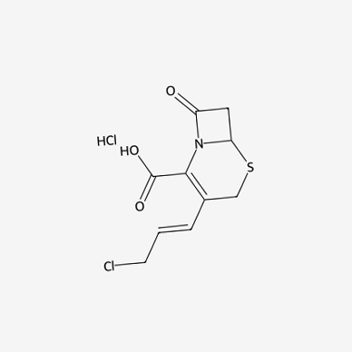 Cl.O=C(O)C1=C(C=CCCl)CSC2CC(=O)N12